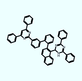 c1ccc(C2=NC(c3c(-c4ccccc4-c4cccc(-c5nc(-c6ccccc6)cc(-c6ccccc6)n5)c4)ccc4ccccc34)NC(c3ccccc3)=N2)cc1